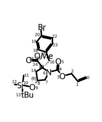 C=CCOC(=O)N1C[C@H](O[Si](C)(C)C(C)(C)C)C[C@@]1(Cc1ccc(Br)cc1)C(=O)OC